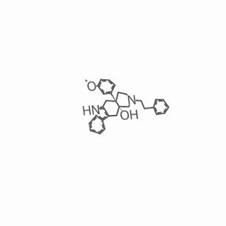 COc1cccc([C@@]23CCN(CCc4ccccc4)C[C@@]2(O)Cc2c([nH]c4ccccc24)C3)c1